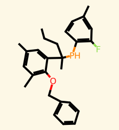 CCCC(C)(Pc1ccc(C)cc1F)c1cc(C)cc(C)c1OCc1ccccc1